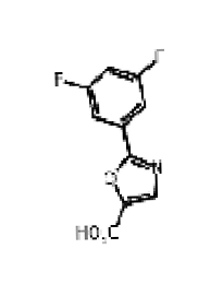 O=C(O)c1cnc(-c2cc(F)cc(F)c2)o1